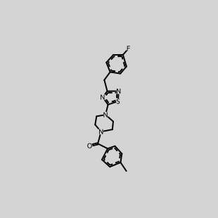 Cc1ccc(C(=O)N2CCN(c3nc(Cc4ccc(F)cc4)ns3)CC2)cc1